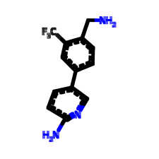 NCc1ccc(-c2ccc(N)nc2)cc1C(F)(F)F